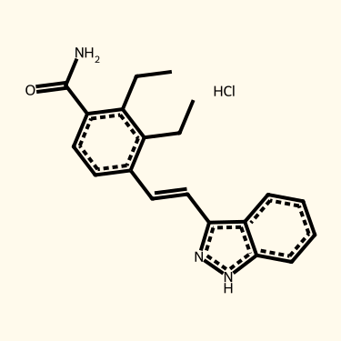 CCc1c(C=Cc2n[nH]c3ccccc23)ccc(C(N)=O)c1CC.Cl